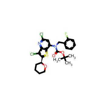 CC(C)(C)OC(=O)N(Cc1ccccc1F)c1cc(Cl)nc2c(Cl)c([C@@H]3CCCCO3)sc12